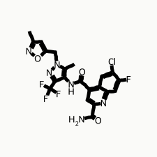 Cc1cc(Cn2nc(C(F)(F)F)c(NC(=O)c3cc(C(N)=O)nc4cc(F)c(Cl)cc34)c2C)on1